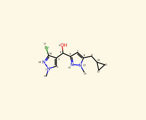 Cn1cc(C(O)c2cc(CC3CC3)n(C)n2)c(Br)n1